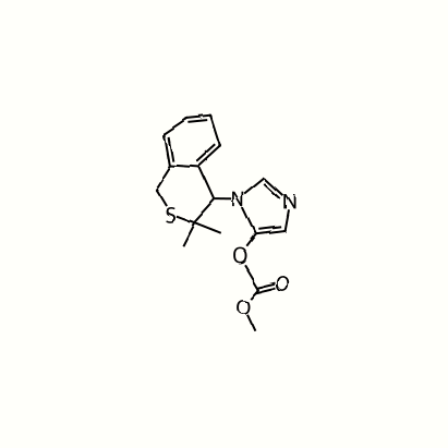 COC(=O)Oc1cncn1C1c2ccccc2CSC1(C)C